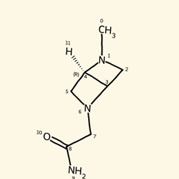 CN1CC2[C@H]1CN2CC(N)=O